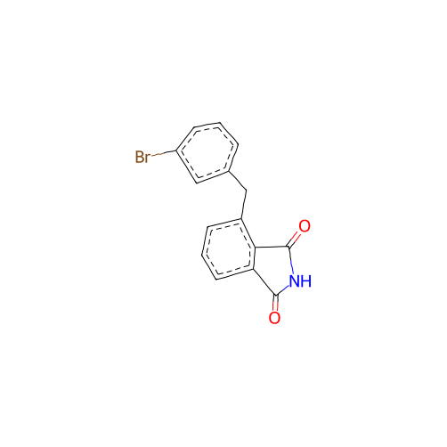 O=C1NC(=O)c2c(Cc3cccc(Br)c3)cccc21